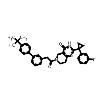 CC(C)(C)c1ccc(-c2cccc(CC(=O)N3CCc4nc(C5(c6cccc(Cl)c6)CC5)[nH]c(=O)c4C3)c2)cc1